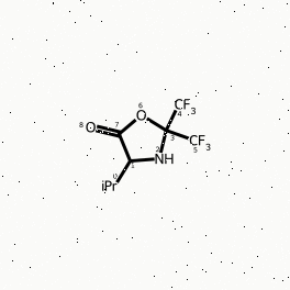 CC(C)C1NC(C(F)(F)F)(C(F)(F)F)OC1=O